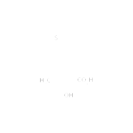 CC(O)(C(=O)O)c1ccsc1